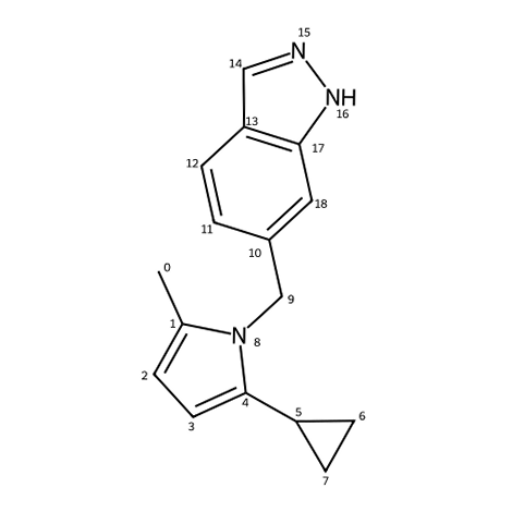 Cc1ccc(C2CC2)n1Cc1ccc2cn[nH]c2c1